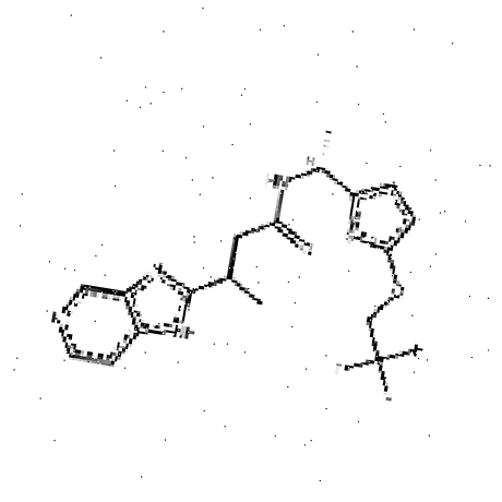 CC(CC(=O)N[C@H](C)c1ccc(OCC(F)(F)F)s1)c1nc2cnccc2[nH]1